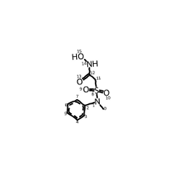 CN(c1ccccc1)S(=O)(=O)CC(=O)NO